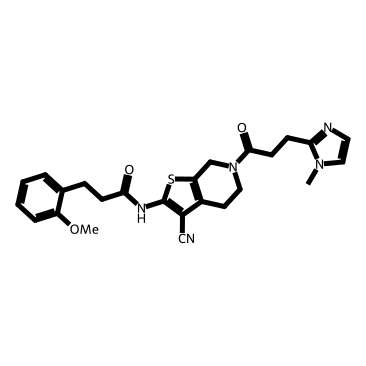 COc1ccccc1CCC(=O)Nc1sc2c(c1C#N)CCN(C(=O)CCc1nccn1C)C2